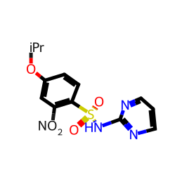 CC(C)Oc1ccc(S(=O)(=O)Nc2ncccn2)c([N+](=O)[O-])c1